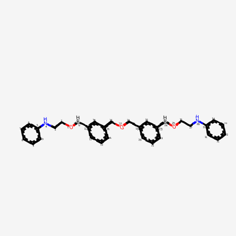 B(OCCNc1ccccc1)c1cccc(COCc2cccc(BOCCNc3ccccc3)c2)c1